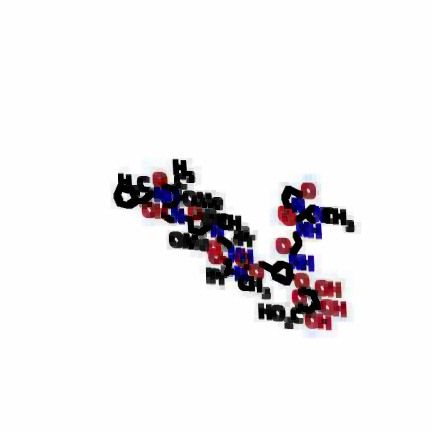 CC[C@H](C)[C@@H]([C@@H](CC(=O)N1CCC[C@H]1[C@H](OC)[C@@H](C)C(=O)N[C@H](C)[C@@H](O)c1ccccc1)OC)N(C)C(=O)[C@@H](NC(=O)[C@H](C(C)C)N(C)C(=O)OCc1ccc(O[C@@H]2O[C@H](C(=O)O)[C@@H](O)[C@H](O)[C@H]2O)c(NC(=O)CCNC(=O)C2(N3C(=O)C=CC3=O)CN(C)C2)c1)C(C)C